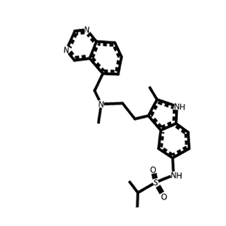 Cc1[nH]c2ccc(NS(=O)(=O)C(C)C)cc2c1CCN(C)Cc1cccc2ncncc12